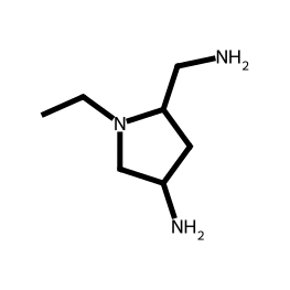 CCN1CC(N)CC1CN